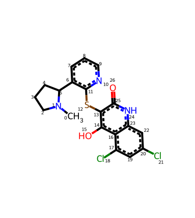 CN1CCCC1c1cccnc1Sc1c(O)c2c(Cl)cc(Cl)cc2[nH]c1=O